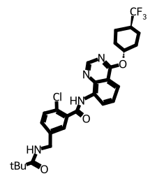 CC(C)(C)C(=O)NCc1ccc(Cl)c(C(=O)Nc2cccc3c(O[C@H]4CC[C@H](C(F)(F)F)CC4)ncnc23)c1